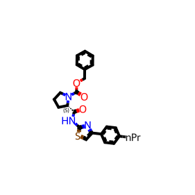 CCCc1ccc(-c2csc(NC(=O)[C@@H]3CCCN3C(=O)OCc3ccccc3)n2)cc1